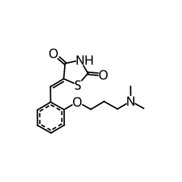 CN(C)CCCOc1ccccc1C=C1SC(=O)NC1=O